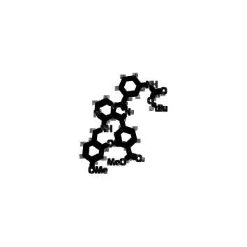 COC(=O)c1ccc(-c2nc(C3=CC(NC(=O)OC(C)(C)C)CCC3)n3ccnc(NCc4ccc(OC)cc4OC)c23)cc1